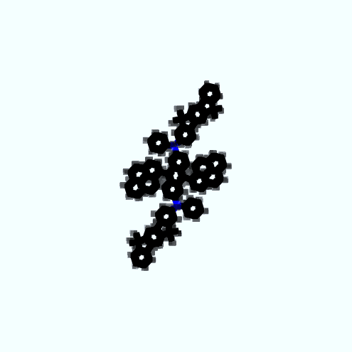 CC1(C)c2ccccc2-c2cc3c(cc21)-c1ccc(N(c2ccccc2)c2ccc4c(-c5ccc6ccc7cccc8ccc5c6c78)c5cc(N(c6ccccc6)c6ccc7c(c6)C(C)(C)c6cc8c(cc6-7)C(C)(C)c6ccccc6-8)ccc5c(-c5ccc6ccc7cccc8ccc5c6c78)c4c2)cc1C3(C)C